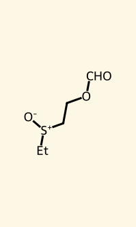 CC[S+]([O-])CCOC=O